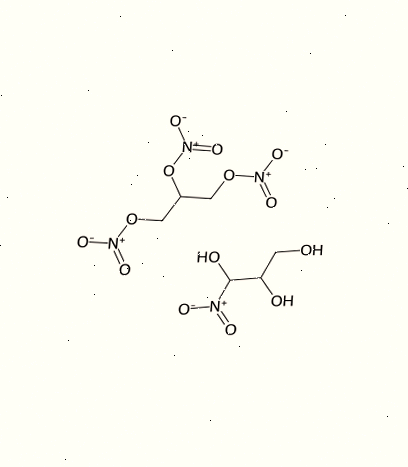 O=[N+]([O-])C(O)C(O)CO.O=[N+]([O-])OCC(CO[N+](=O)[O-])O[N+](=O)[O-]